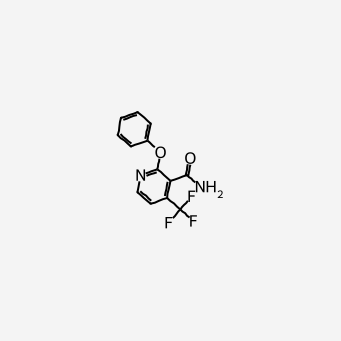 NC(=O)c1c(C(F)(F)F)ccnc1Oc1ccccc1